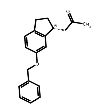 CC(=O)C[C@H]1CCc2ccc(OCc3ccccc3)cc21